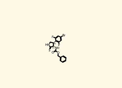 O=C(N[C@@H]1C(=S)NC[C@H]1c1c(F)cc(Br)cc1F)OCc1ccccc1